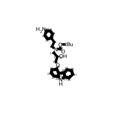 CC(C)(C)OC(=O)N(CCc1ccc(N)cc1)C[C@H](O)COc1cccc2[nH]c3ccccc3c12